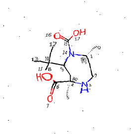 C[C@@H]1CN[C@@](C)(C(=O)O)C(C(C)(C)C)N1C(=O)O